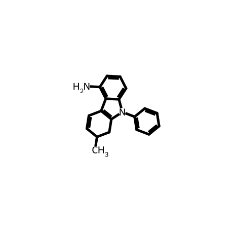 CC1C=Cc2c(n(-c3ccccc3)c3cccc(N)c23)C1